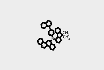 CC1(C)c2ccccc2-c2c(N(c3ccc(-c4cccc5ccccc45)cc3)c3cc4c5ccccc5ccc4c4ccccc34)cccc21